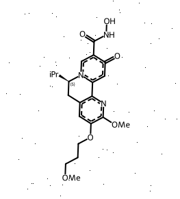 COCCCOc1cc2c(nc1OC)-c1cc(=O)c(C(=O)NO)cn1[C@H](C(C)C)C2